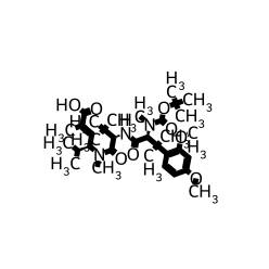 COc1ccc(C(C)(C)[C@@H](C(=O)N[C@H](C(=O)N(C)[C@H](/C=C(\C)C(=O)O)C(C)C)C(C)(C)C)N(C)C(=O)OC(C)(C)C)c(OC)c1